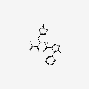 Cc1ncc(C(=O)NC(Cc2cn[nH]c2)C(=O)C(N)=O)n1-c1ccccn1